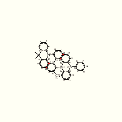 CC1(C)c2ccccc2N(c2ccccc2-c2cccc(C#N)c2B2c3ccccc3B(c3ccccc3)c3ccccc32)c2ccccc21